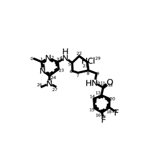 Cc1nc(NC2CCC(CNC(=O)c3ccc(F)c(F)c3)CC2)cc(N(C)C)n1.Cl